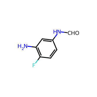 Nc1cc(NC=O)ccc1F